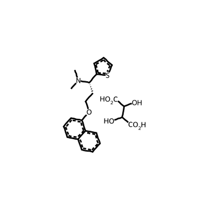 CN(C)[C@@H](CCOc1cccc2ccccc12)c1cccs1.O=C(O)C(O)C(O)C(=O)O